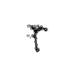 CN1C[C@H](OCCOCCOCCO[C@@H]2CCCCO2)C[C@@H]1COc1nc2c(c(N3CCN(C(=O)OCc4ccccc4)[C@@H](CC#N)C3)n1)CCN(C(=O)OC(C)(C)C)C2